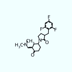 CN(C)C=C1CC(N2CCC(Cc3c(F)cc(F)cc3F)C2=O)CCC1=O